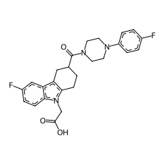 O=C(O)Cn1c2c(c3cc(F)ccc31)CC(C(=O)N1CCN(c3ccc(F)cc3)CC1)CC2